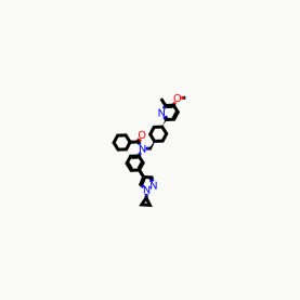 COc1ccc([C@H]2CC[C@H](CN(C(=O)C3CCCCC3)c3cccc(-c4cnn(C5CC5)c4)c3)CC2)nc1C